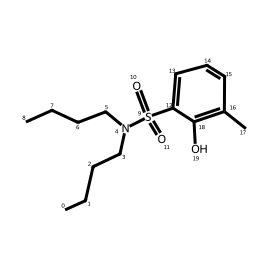 CCCCN(CCCC)S(=O)(=O)c1cccc(C)c1O